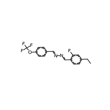 CCc1ccc(C=NN=Cc2ccc(OC(F)(F)F)cc2)c(F)c1